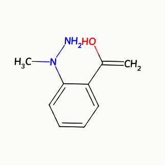 C=C(O)c1ccccc1N(C)N